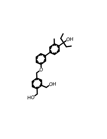 CCC(O)(CC)c1ccc(-c2cccc(OCc3ccc(CO)c(CO)c3)c2)cc1C